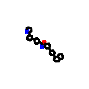 c1ccc(-c2cccc(-c3ccc(-c4nc5cc(-c6ccc(-c7cccc8ccccc78)cc6)ccc5o4)cc3)c2)nc1